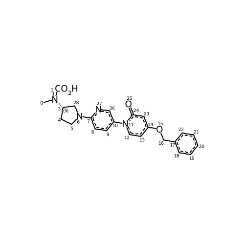 CN(C(=O)O)[C@H]1CCN(c2ccc(-n3ccc(OCc4ccccc4)cc3=O)cn2)C1